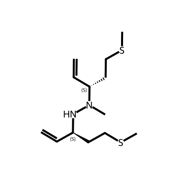 C=C[C@H](CCSC)NN(C)[C@H](C=C)CCSC